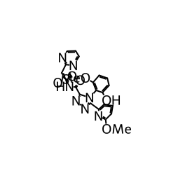 COC1=NC(c2nnc(C(=O)NS(=O)(=O)Cc3ncccn3)n2-c2c(O)cccc2OC)=C=C=C1